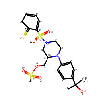 CC(O)(c1ccc(N2CCN(S(=O)(=O)C3=CC=CCC3=S)C[C@@H]2COS(C)(=O)=O)cc1)C(F)(F)F